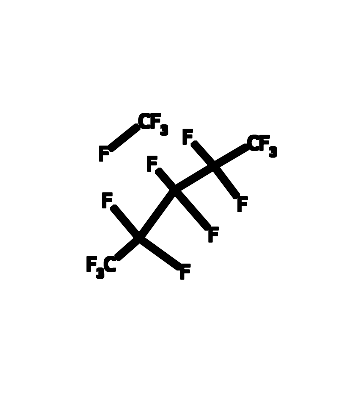 FC(F)(F)C(F)(F)C(F)(F)C(F)(F)C(F)(F)F.FC(F)(F)F